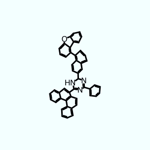 c1ccc(C2=NC(c3ccc4c(-c5cccc6oc7ccccc7c56)cccc4c3)NC(c3cc4ccccc4c4c3ccc3ccccc34)=N2)cc1